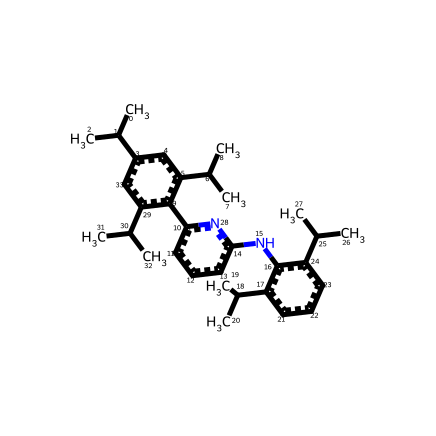 CC(C)c1cc(C(C)C)c(-c2cccc(Nc3c(C(C)C)cccc3C(C)C)n2)c(C(C)C)c1